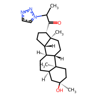 CC(C(=O)[C@H]1CC[C@H]2[C@@H]3CC[C@@H]4C[C@](C)(O)CC[C@]4(C)[C@H]3CC[C@]12C)n1ccnn1